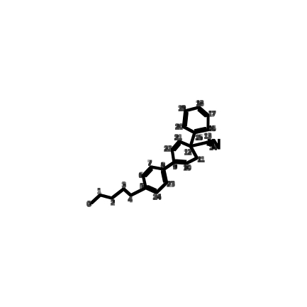 CCCCCc1ccc(C2=CCC(C#N)(c3ccccc3)C=C2)cc1